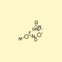 Cc1ccc(C(=O)N2CC(F)(c3ccc(C#N)cc3)C2)cc1-c1[nH]c(C2(C)COC2)nc1C